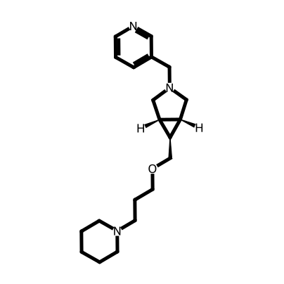 c1cncc(CN2C[C@@H]3[C@@H](COCCCN4CCCCC4)[C@@H]3C2)c1